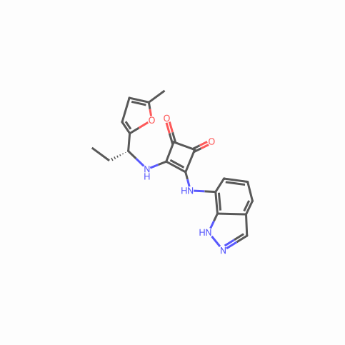 CC[C@@H](Nc1c(Nc2cccc3cn[nH]c23)c(=O)c1=O)c1ccc(C)o1